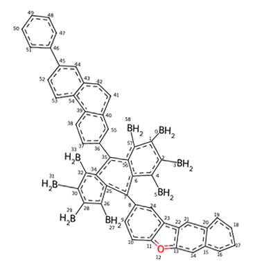 Bc1c(B)c(B)c2c(-c3ccc4oc5cc6ccccc6cc5c4c3)c3c(B)c(B)c(B)c(B)c3c(-c3ccc4c(ccc5cc(-c6ccccc6)ccc54)c3)c2c1B